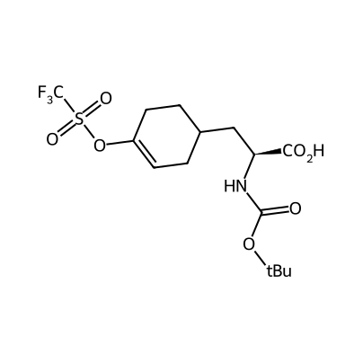 CC(C)(C)OC(=O)N[C@@H](CC1CC=C(OS(=O)(=O)C(F)(F)F)CC1)C(=O)O